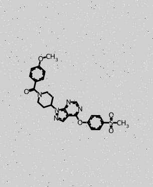 COc1ccc(C(=O)N2CCC(n3ncc4c(Oc5ccc(S(C)(=O)=O)cc5)ncnc43)CC2)cc1